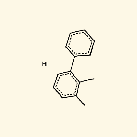 Cc1cccc(-c2ccccc2)c1C.I